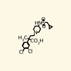 CC(CCN1CCC(NS(=O)(=O)CC2CC2)CC1)(C(=O)O)c1ccc(Cl)c(Cl)c1